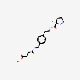 COC(=O)CCC(=O)NCc1ccc(CCNC(=O)[C@]2(C)CCCN2)cc1